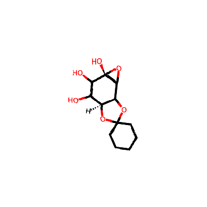 OC1C(O)[C@]2(O)OC2C2OC3(CCCCC3)O[C@@H]12